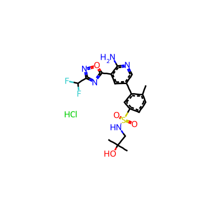 Cc1ccc(S(=O)(=O)NCC(C)(C)O)cc1-c1cnc(N)c(-c2nc(C(F)F)no2)c1.Cl